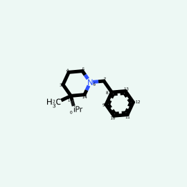 CC(C)C1(C)CCCN(Cc2ccccc2)C1